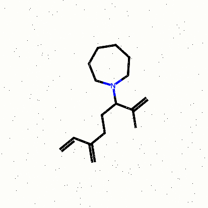 C=CC(=C)CCC(C(=C)C)N1CCCCCC1